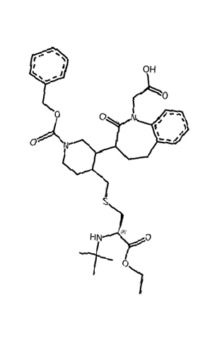 CCOC(=O)[C@H](CSCC1CCN(C(=O)OCc2ccccc2)CC1C1CCc2ccccc2N(CC(=O)O)C1=O)NC(C)(C)C